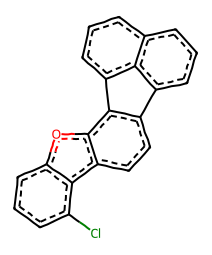 Clc1cccc2oc3c4c(ccc3c12)-c1cccc2cccc-4c12